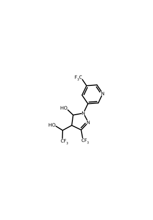 OC1C(C(O)C(F)(F)F)C(C(F)(F)F)=NN1c1cncc(C(F)(F)F)c1